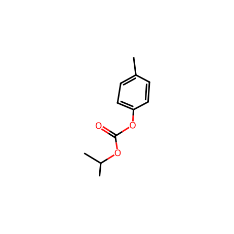 Cc1ccc(OC(=O)OC(C)C)cc1